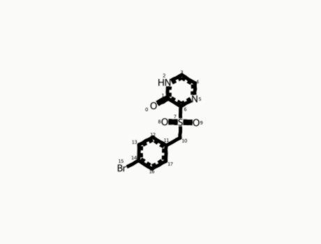 O=c1[nH]ccnc1S(=O)(=O)Cc1ccc(Br)cc1